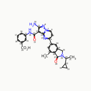 Cc1cc(-c2ccn3nc(N)c(C(=O)Nc4cccc(C(=O)O)c4)c3n2)cc2c1C(=O)N(C(C)C1CC1)C2